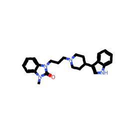 Cn1c(=O)n(CCCN2CCC(c3c[nH]c4ccccc34)CC2)c2ccccc21